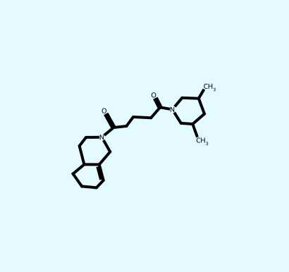 CC1CC(C)CN(C(=O)CCCC(=O)N2CCC3CCCC=C3C2)C1